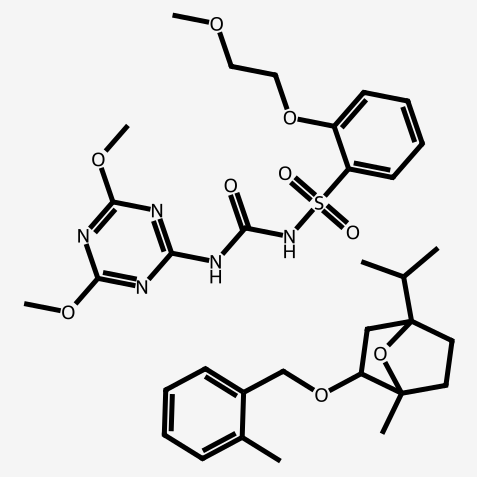 COCCOc1ccccc1S(=O)(=O)NC(=O)Nc1nc(OC)nc(OC)n1.Cc1ccccc1COC1CC2(C(C)C)CCC1(C)O2